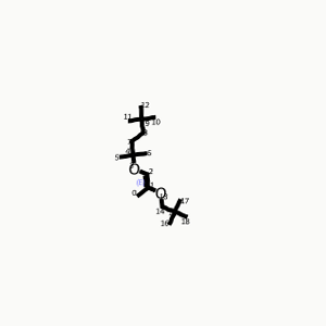 C/C(=C\OC(C)(C)CCC(C)(C)C)OCC(C)(C)C